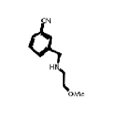 COCCNCc1cccc(C#N)c1